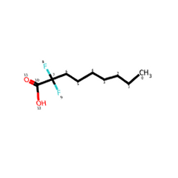 CCCCCCCC(F)(F)C(=O)O